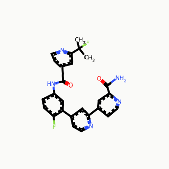 CC(C)(F)c1cc(C(=O)Nc2ccc(F)c(-c3ccnc(-c4ccnc(C(N)=O)c4)c3)c2)ccn1